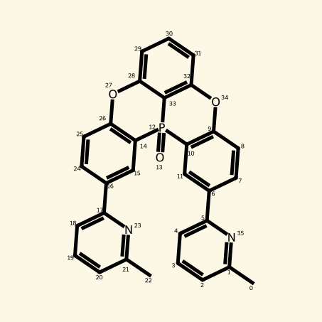 Cc1cccc(-c2ccc3c(c2)P2(=O)c4cc(-c5cccc(C)n5)ccc4Oc4cccc(c42)O3)n1